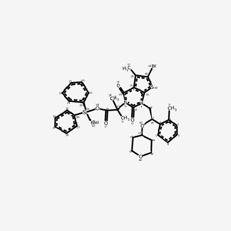 Cc1ccccc1[C@H](Cn1c(=O)n(C(C)(C)C(=O)O[Si](c2ccccc2)(c2ccccc2)C(C)(C)C)c(=O)c2c(C)c(Br)sc21)OC1CCOCC1